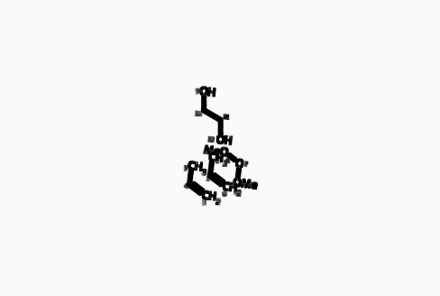 C=CC.C=CC.COOOC.OCCO